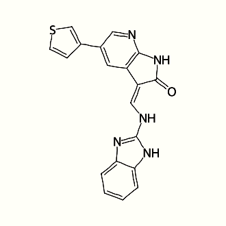 O=C1Nc2ncc(-c3ccsc3)cc2C1=CNc1nc2ccccc2[nH]1